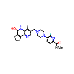 CNC(=O)c1ccc(N2CCN(Cc3cnc4c(c3C)NC(O)C3=C4CCC3)CC2)c(F)n1